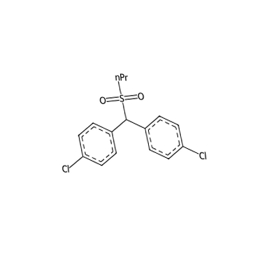 CCCS(=O)(=O)C(c1ccc(Cl)cc1)c1ccc(Cl)cc1